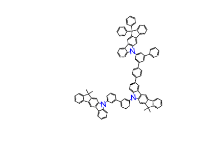 CC1(C)c2ccccc2-c2cc3c4cc(-c5ccc(-c6cc(-c7ccccc7)cc(-n7c8ccccc8c8cc9c(cc87)-c7ccccc7C9(c7ccccc7)c7ccccc7)c6)cc5)ccc4n(C4=CC(c5cccc(-n6c7ccccc7c7cc8c(cc76)C(C)(C)c6ccccc6-8)c5)=CCC4)c3cc21